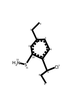 CCc1ccc(C(Cl)CC)c(SN)c1